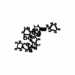 Cc1ccnc(N2CCNCC2)c1N1C=c2c(cnn2S(=O)(=O)Cc2ccccc2)=CC1(Br)OCCCOCc1ccccc1